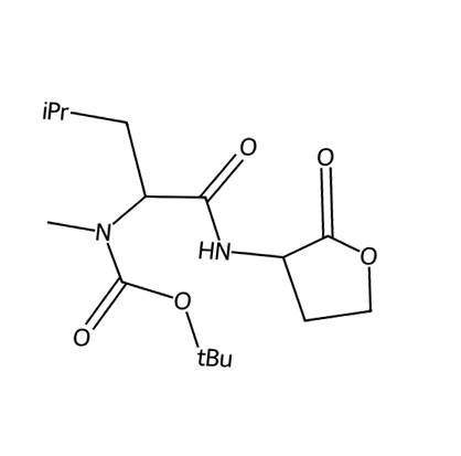 CC(C)CC(C(=O)NC1CCOC1=O)N(C)C(=O)OC(C)(C)C